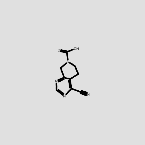 N#Cc1ncnc2c1CCN(C(=O)O)C2